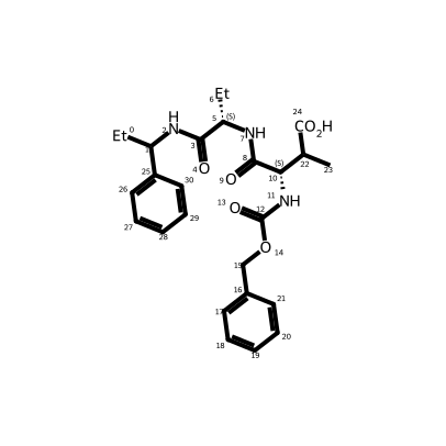 CCC(NC(=O)[C@H](CC)NC(=O)[C@@H](NC(=O)OCc1ccccc1)C(C)C(=O)O)c1ccccc1